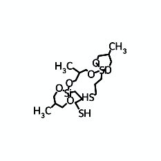 CC1CO[Si](CCCS)(OCC(C)CO[Si]2(CCCS)OCC(C)CO2)OC1